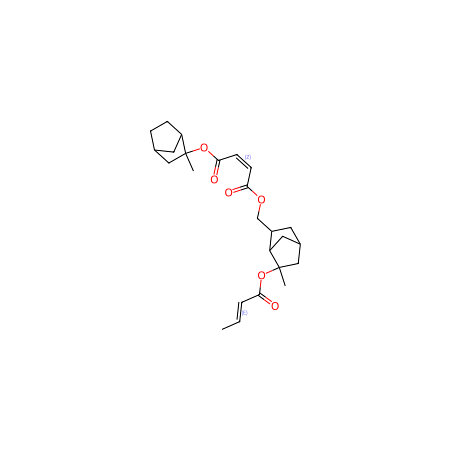 C/C=C/C(=O)OC1(C)CC2CC(COC(=O)/C=C\C(=O)OC3(C)CC4CCC3C4)C1C2